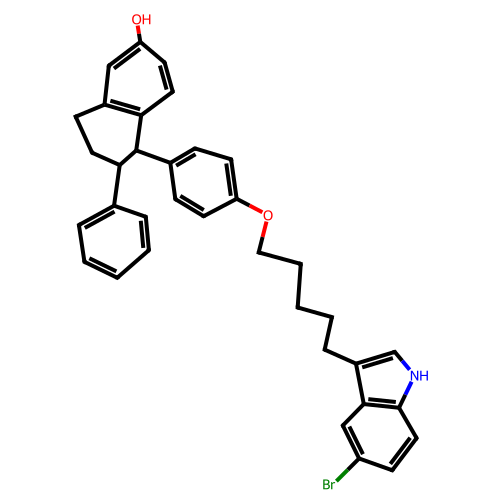 Oc1ccc2c(c1)CCC(c1ccccc1)C2c1ccc(OCCCCCc2c[nH]c3ccc(Br)cc23)cc1